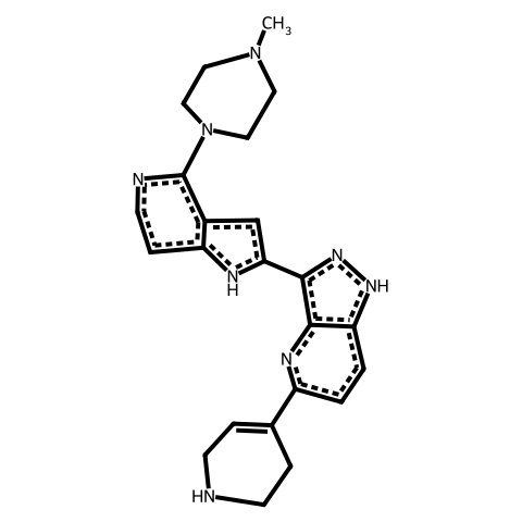 CN1CCN(c2nccc3[nH]c(-c4n[nH]c5ccc(C6=CCNCC6)nc45)cc23)CC1